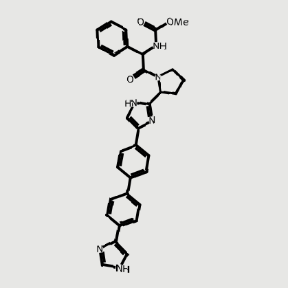 COC(=O)NC(C(=O)N1CCCC1c1nc(-c2ccc(-c3ccc(-c4c[nH]cn4)cc3)cc2)c[nH]1)c1ccccc1